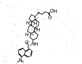 C[C@H](CCC(=O)O)C1CC[C@H]2[C@@H]3CC[C@@H]4CC(N[S+]([O-])c5cccc6c(N(C)C)cccc56)CC[C@]4(C)[C@H]3CC[C@]12C